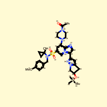 COc1ccc(CN(C2(C#N)CC2)S(=O)(=O)c2cc(N3CCN(C(=O)C(C)C)CC3)c3ncc(-c4cc5n(n4)CC(O[Si](C)(C)C(C)(C)C)C5)n3c2)cc1